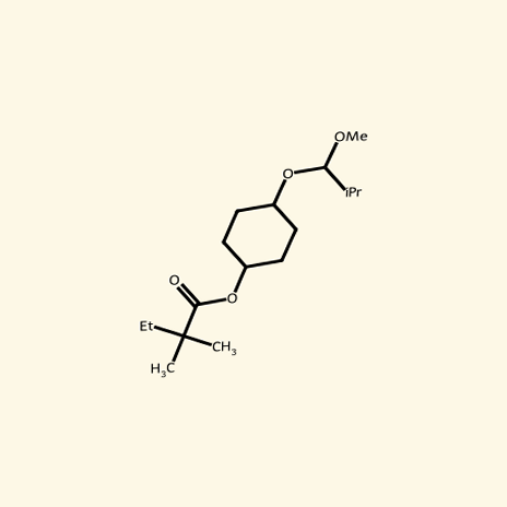 CCC(C)(C)C(=O)OC1CCC(OC(OC)C(C)C)CC1